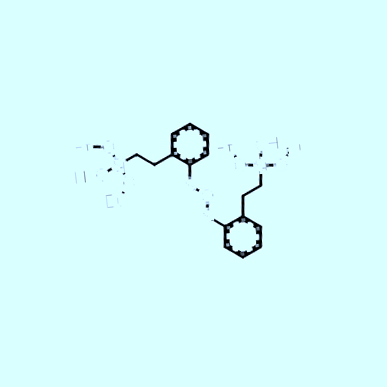 CCO[Si](C)(CCc1ccccc1SOSc1ccccc1CC[Si](C)(OCC)OCC)OCC